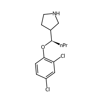 CCC[C@@H](Oc1ccc(Cl)cc1Cl)C1CCNC1